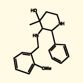 COc1ccccc1CNC1C(c2ccccc2)NCCC1(C)O